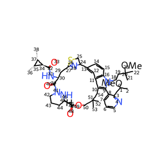 CO[C@@H](C)c1ncccc1-c1c2c3cc(ccc3n1CCC(C)(C)OC)C1CSC(=N1)C[C@H](NC(=O)[C@H]1[C@H](C)[C@@H]1C)C(=O)N1CCC[C@H](N1)C(=O)OCC(C)(C)C2